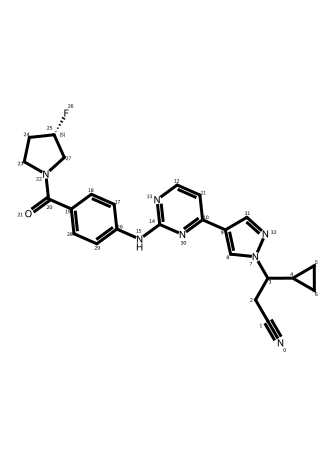 N#CCC(C1CC1)n1cc(-c2ccnc(Nc3ccc(C(=O)N4CC[C@H](F)C4)cc3)n2)cn1